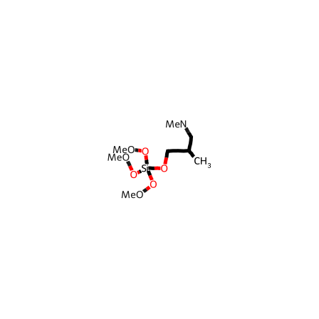 CNCC(C)CO[Si](OOC)(OOC)OOC